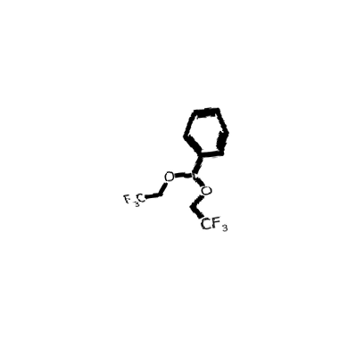 FC(F)(F)COI(OCC(F)(F)F)c1ccccc1